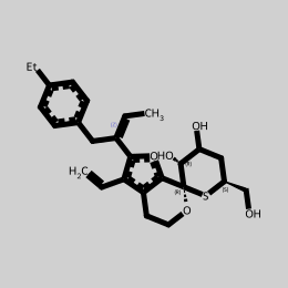 C=Cc1c(/C(=C\C)Cc2ccc(CC)cc2)oc2c1CCO[C@]21S[C@H](CO)CC(O)[C@H]1O